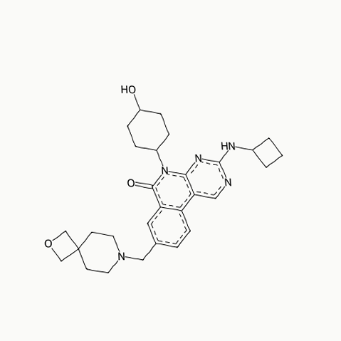 O=c1c2cc(CN3CCC4(CC3)COC4)ccc2c2cnc(NC3CCC3)nc2n1C1CCC(O)CC1